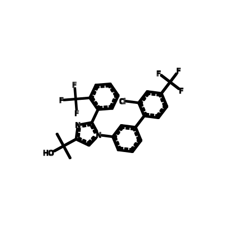 CC(C)(O)c1cn(-c2cccc(-c3ccc(C(F)(F)F)cc3Cl)c2)c(-c2ccccc2C(F)(F)F)n1